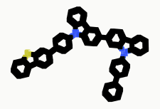 c1ccc(-c2ccc(-n3c4ccccc4c4ccc(-c5ccc6c(c5)c5ccccc5n6-c5ccc(-c6ccc7c(c6)sc6ccccc67)cc5)cc43)cc2)cc1